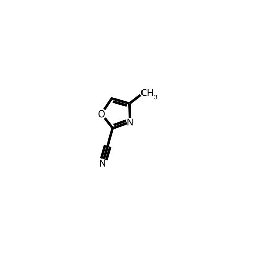 Cc1coc(C#N)n1